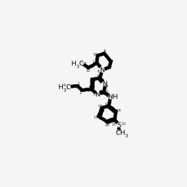 CCCc1cc(N2CCCCC2CC)nc(Nc2cccc(SC)c2)n1